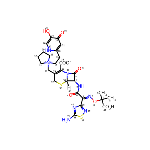 CC(C)(ON=C(C(=O)N[C@@H]1C(=O)N2C(C(=O)[O-])=C(C[N+]3(CCc4cc(=O)c(O)c[nH]4)CCCC3)CS[C@@H]12)c1nsc(N)n1)C(=O)O